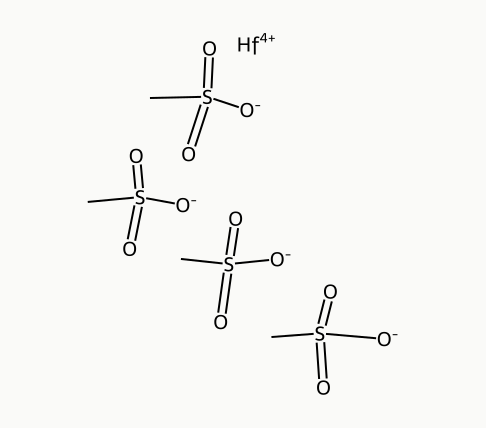 CS(=O)(=O)[O-].CS(=O)(=O)[O-].CS(=O)(=O)[O-].CS(=O)(=O)[O-].[Hf+4]